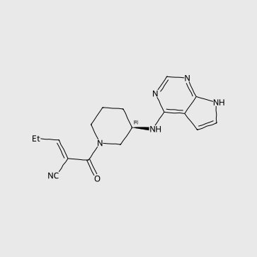 CCC=C(C#N)C(=O)N1CCC[C@@H](Nc2ncnc3[nH]ccc23)C1